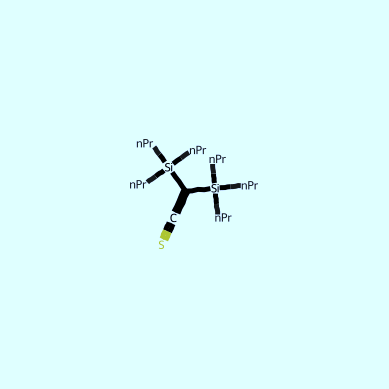 CCC[Si](CCC)(CCC)C(=C=S)[Si](CCC)(CCC)CCC